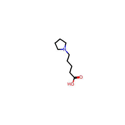 O=C(O)CCCCN1CCCC1